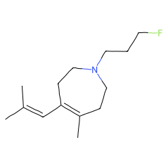 CC(C)=CC1=C(C)CCN(CCCF)CC1